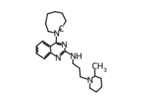 CC1CCCCN1CCCNc1nc(N2CCCCCCC2)c2ccccc2n1